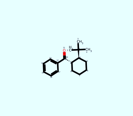 CC(C)(C)[C@H]1CCCC[C@@H]1C(=O)c1ccccc1